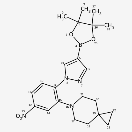 CC1(C)OB(c2cnn(-c3ccc([N+](=O)[O-])cc3N3CCC4(CC3)CC4)c2)OC1(C)C